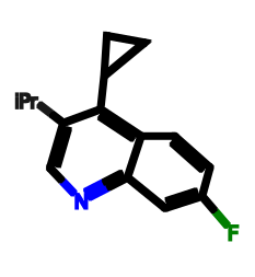 CC(C)c1cnc2cc(F)ccc2c1C1CC1